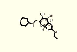 CCNC1=N[C@@H]2[C@@H](O)[C@H](O)[C@@H](CNC3CCOCC3)O[C@@H]2S1